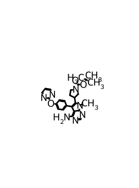 Cn1c(C2CCN(C(=O)OC(C)(C)C)C2)c(-c2ccc(Oc3ncccn3)cc2)c2c(N)ncnc21